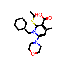 CCSC1C(C(=O)O)=C(C)C=C(N2CCOCC2)N1CC1CCCCC1